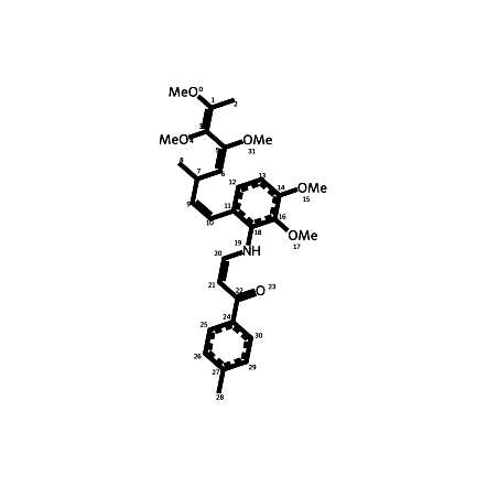 CO/C(C)=C(OC)/C(=C\C(C)/C=C\c1ccc(OC)c(OC)c1N/C=C\C(=O)c1ccc(C)cc1)OC